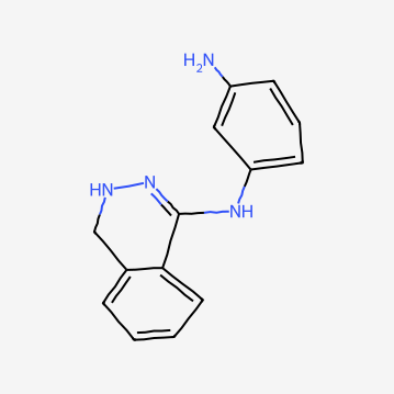 Nc1cccc(NC2=NNCc3ccccc32)c1